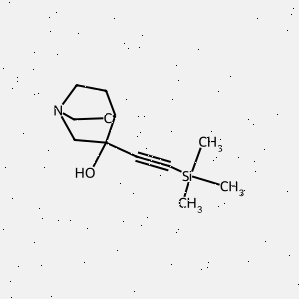 C[Si](C)(C)C#CC1(O)CN2CCC1CC2